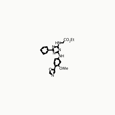 CCOC(=O)CNc1nc(Nc2ccc(-c3cnco3)c(OC)c2)nc(-c2ccccc2)n1